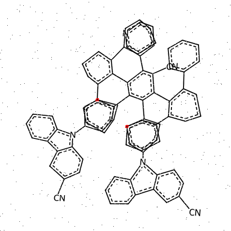 N#Cc1ccc2c(c1)c1ccccc1n2-c1ccc(-c2c(-c3c(-c4ccccc4)cccc3-c3ccccc3)c(C#N)c(-c3cccnc3)c(-c3c(-c4ccccc4)cccc3-c3ccccc3)c2-c2ccc(-n3c4ccccc4c4cc(C#N)ccc43)cc2)cc1